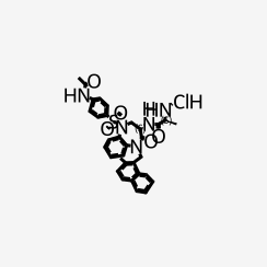 CN[C@@H](C)C(=O)N[C@H]1CN(S(=O)(=O)c2ccc(NC(C)=O)cc2)c2ccccc2N(Cc2c(C)ccc3ccccc23)C1=O.Cl